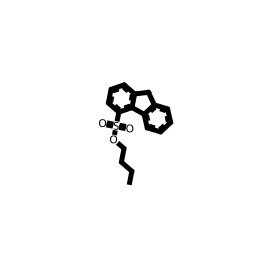 CCCCOS(=O)(=O)c1cccc2c1-c1ccccc1[CH]2